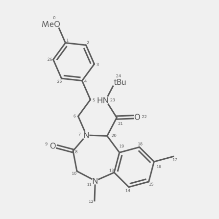 COc1ccc(CCN2C(=O)CN(C)c3ccc(C)cc3C2C(=O)NC(C)(C)C)cc1